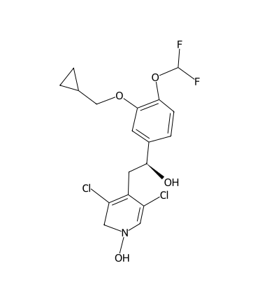 O[C@@H](CC1=C(Cl)CN(O)C=C1Cl)c1ccc(OC(F)F)c(OCC2CC2)c1